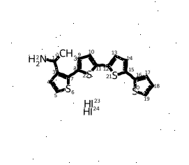 CC(N)c1ccsc1-c1ccc(-c2ccc(-c3cccs3)s2)s1.I.I